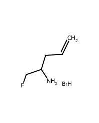 Br.C=CCC(N)CF